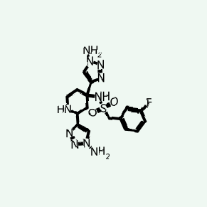 Nn1cc(C2CC(NS(=O)(=O)Cc3cccc(F)c3)(c3cn(N)nn3)CCN2)nn1